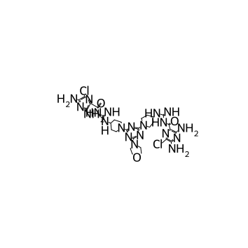 N=C(NC(=O)c1nc(Cl)c(N)nc1N)NC1CCN(c2nc(N3CCOCC3)nc(N3CCC(NC(=N)NC(=O)c4nc(Cl)c(N)nc4N)CC3)n2)CC1